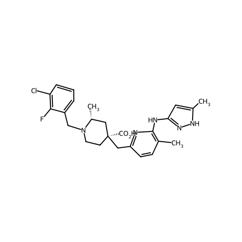 Cc1cc(Nc2nc(C[C@@]3(C(=O)O)CCN(Cc4cccc(Cl)c4F)[C@H](C)C3)ccc2C)n[nH]1